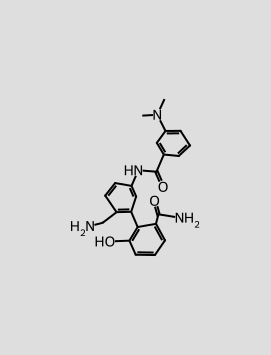 CN(C)c1cccc(C(=O)Nc2ccc(CN)c(-c3c(O)cccc3C(N)=O)c2)c1